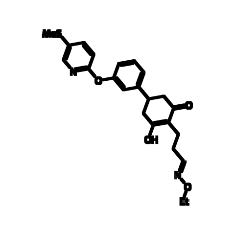 CCON=CCCC1=C(O)CC(c2cccc(Oc3ccc(SC)cn3)c2)CC1=O